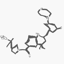 CC1(C)CC(c2cc(F)cc(N3CCOCC3)c2)Nc2ccc(C(=O)N3CCC(C(C)(C)O)C3)cc21